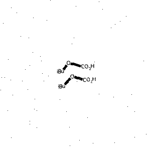 CCC(C)OC(=O)O.CCC(C)OC(=O)O